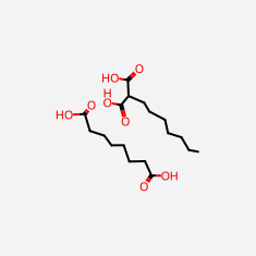 CCCCCCCC(C(=O)O)C(=O)O.O=C(O)CCCCCCC(=O)O